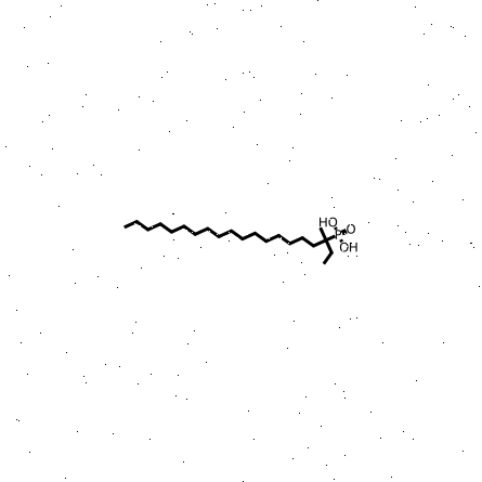 CCCCCCCCCCCCCCCCCC(C)(CC)P(=O)(O)O